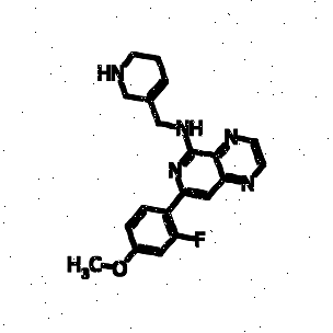 COc1ccc(-c2cc3nccnc3c(NCC3=CCCNC3)n2)c(F)c1